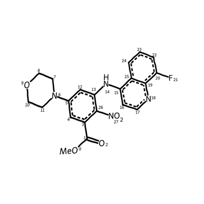 COC(=O)c1cc(N2CCOCC2)cc(Nc2ccnc3c(F)cccc23)c1[N+](=O)[O-]